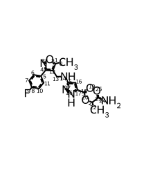 Cc1onc(-c2ccc(F)cc2)c1CNc1cc(C(=O)OC(C)C(N)=O)[nH]n1